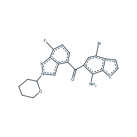 Nc1c(C(=O)c2ccc(F)c3nn(C4CCCCO4)cc23)cc(Br)c2ccsc12